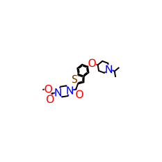 COC(=O)N1CCN(C(=O)c2cc3cc(OC4CCN(C(C)C)CC4)ccc3s2)CC1